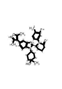 Cc1ccc(N2C(=O)CCC[C@H]2c2nc3cc(-c4c(C)noc4C)ccc3n2C2CCC(C)(O)CC2)cc1F